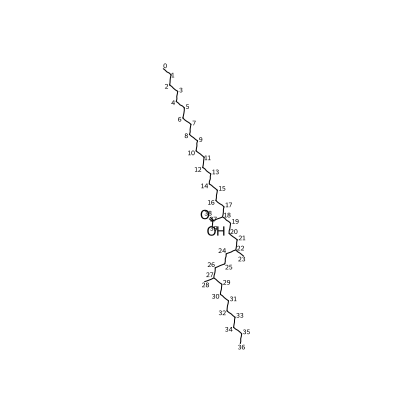 CCCCCCCCCCCCCCCCCCC(CCCC(C)CCCC(C)CCCCCCCC)C(=O)O